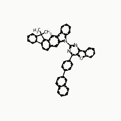 CC1(C)c2ccccc2-c2ccc3cc4c(cc3c21)c1ccccc1n4-c1nc(-c2ccc(-c3ccc4ccccc4c3)cc2)c2oc3ccccc3c2n1